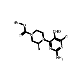 C[C@H]1CN(C(=O)OC(C)(C)C)CCN1c1nc(N)nc(Cl)c1C=O